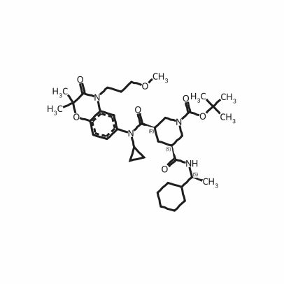 COCCCN1C(=O)C(C)(C)Oc2ccc(N(C(=O)[C@@H]3C[C@H](C(=O)N[C@@H](C)C4CCCCC4)CN(C(=O)OC(C)(C)C)C3)C3CC3)cc21